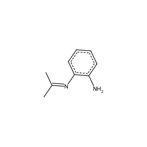 CC(C)=Nc1ccccc1N